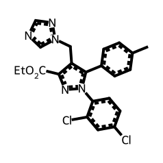 CCOC(=O)c1nn(-c2ccc(Cl)cc2Cl)c(-c2ccc(C)cc2)c1Cn1cncn1